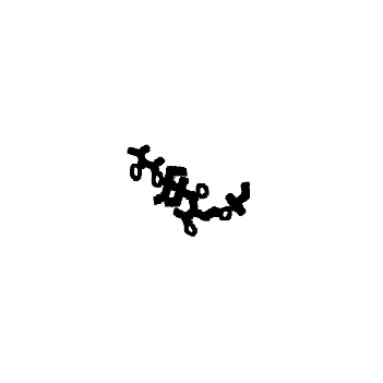 CCC(C)(C)OCCC(C(C)=O)C(=O)C(C)(CC)C(CC)(CC)OC(C)C(=O)C(C)C